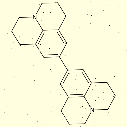 c1c(-c2cc3c4c(c2)CCCN4CCC3)cc2c3c1CCCN3CCC2